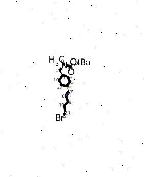 CN(C[C@H]1CC[C@H](/C=C/CCCBr)CC1)C(=O)OC(C)(C)C